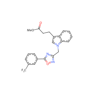 COC(=O)CCc1cn(Cc2noc(-c3cccc(C(F)(F)F)c3)n2)c2ccccc12